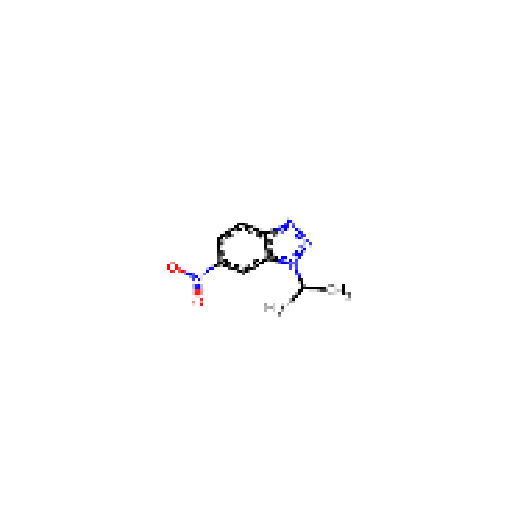 CC(C)n1nnc2ccc([N+](=O)[O-])cc21